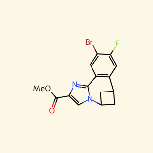 COC(=O)c1cn2c(n1)-c1cc(Br)c(F)cc1C1CC2C1